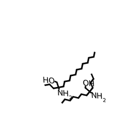 CCCCCCCC(N)(CO)CCCC.CCCCCCCCCCCCC(N)(CO)CCC